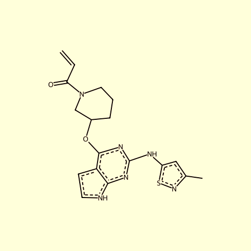 C=CC(=O)N1CCCC(Oc2nc(Nc3cc(C)ns3)nc3[nH]ccc23)C1